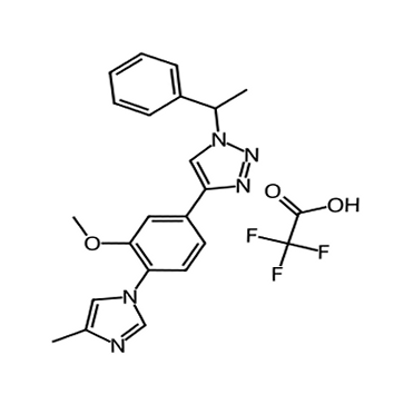 COc1cc(-c2cn(C(C)c3ccccc3)nn2)ccc1-n1cnc(C)c1.O=C(O)C(F)(F)F